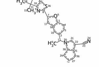 CC(c1ccc2oc(-c3nc(C(C)(C)C)cs3)cc2c1)n1cc(C#N)c2ccccc21